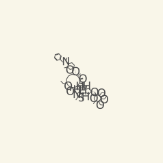 CC[C@H]1CCC[C@H](O[C@H]2CC[C@H](N(C)Cc3ccccc3)C(C)O2)[C@@H](C)C(=O)C2=C[C@H]3[C@@H]4C[C@H](OC5OC(C)C(OC)C(OC)C5OC)C[C@H]4c4sc(C)nc4[C@H]3[C@@H]2CC(=O)O1